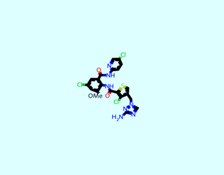 COc1cc(Cl)cc(C(=O)Nc2ccc(Cl)cn2)c1NC(=O)c1scc(Cn2cnc(N)n2)c1Cl